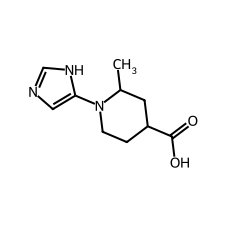 CC1CC(C(=O)O)CCN1c1cnc[nH]1